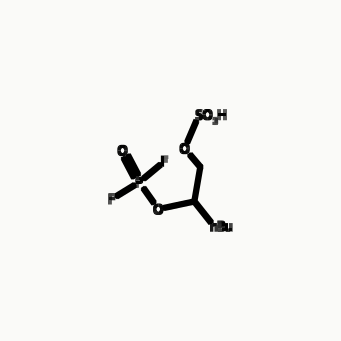 CCCCC(COS(=O)(=O)O)OP(=O)(F)F